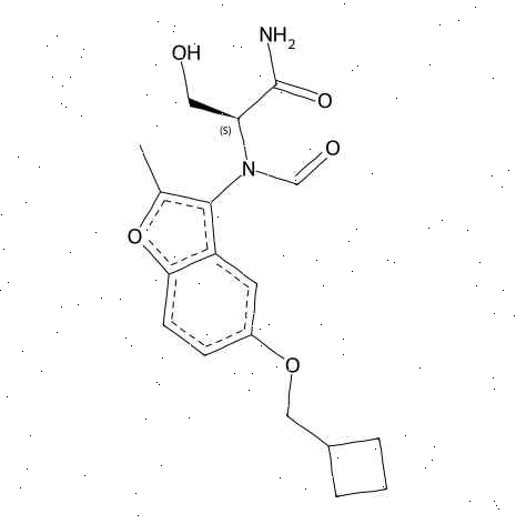 Cc1oc2ccc(OCC3CCC3)cc2c1N(C=O)[C@@H](CO)C(N)=O